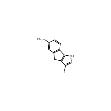 O=C(O)c1ccc2c(c1)Cc1c(I)n[nH]c1-2